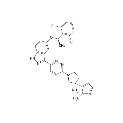 C[C@@H](Oc1ccc2[nH]nc(-c3ccc(N4CC[C@@](N)(c5ccnn5C)C4)nn3)c2c1)c1c(Cl)cncc1Cl